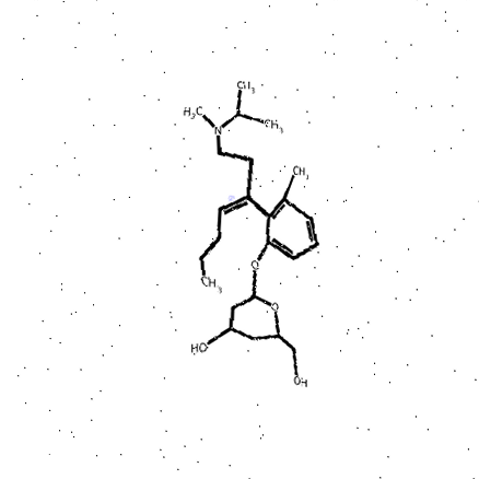 CCC/C=C(/CCN(C)C(C)C)c1c(C)cccc1OC1CC(O)CC(CO)O1